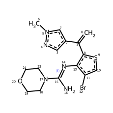 C=C(c1cnn(C)c1)c1scc(Br)c1/N=C(\N)N1CCOCC1